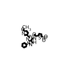 COc1ccc(-c2nc(NC(=O)c3ccc([N+](=O)[O-])s3)c3cnn(-c4ccccc4)c3n2)cn1